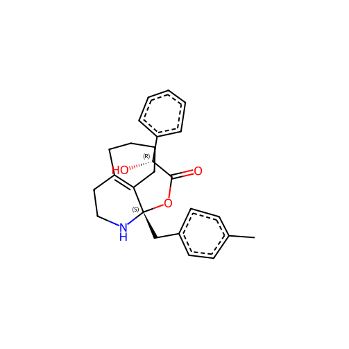 Cc1ccc(C[C@@]2(OC(=O)[C@H](O)c3ccccc3)NCCC3=C2CCCC3)cc1